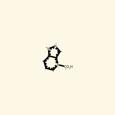 O=C(O)n1cccc2nncc1-2